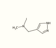 CN(I)Cc1cn[nH]c1